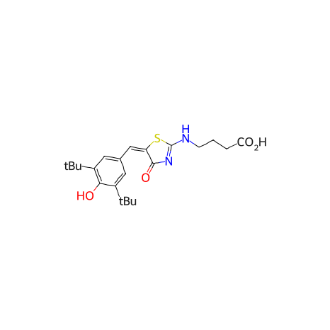 CC(C)(C)c1cc(C=C2SC(NCCCC(=O)O)=NC2=O)cc(C(C)(C)C)c1O